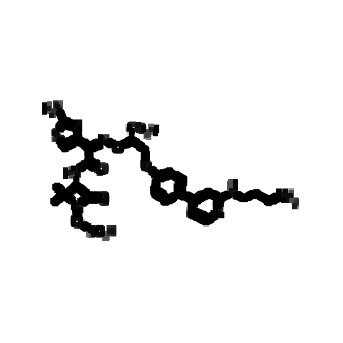 CC1(C)[C@H](NC(=O)/C(=N\O[C@@H](COc2ccc(-c3ccnc(NCCCN)c3)cc2)C(=O)O)c2csc(N)n2)C(=O)N1OS(=O)(=O)O